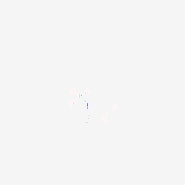 COC(=O)[C@H](C)N[P@](=O)(Oc1ccccc1)Oc1ccc(C)cc1